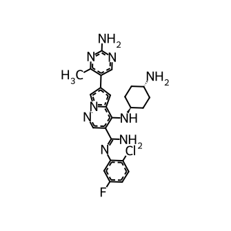 Cc1nc(N)ncc1-c1cc2c(N[C@H]3CC[C@H](N)CC3)c(/C(N)=N/c3cc(F)ccc3Cl)cnn2c1